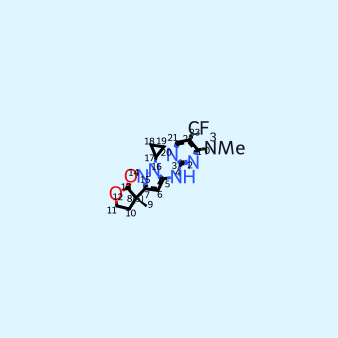 CNc1nc(Nc2cc([C@]3(C)CCOC3=O)nn2C2CC2)ncc1C(F)(F)F